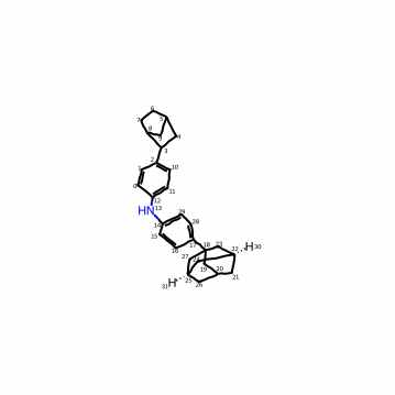 c1cc(C2CC3CCC2C3)ccc1Nc1ccc(C23CC4C[C@H](C2)C[C@@H](C4)C3)cc1